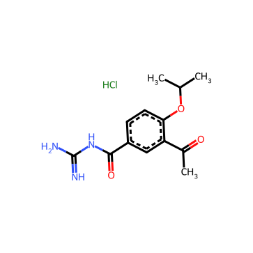 CC(=O)c1cc(C(=O)NC(=N)N)ccc1OC(C)C.Cl